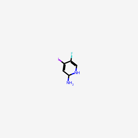 NC1C=C(I)C(F)=CN1